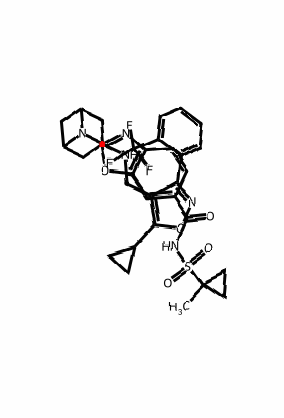 CC1(S(=O)(=O)NC(=O)c2ccc3nc(N4C5CC(NCc6c(-c7ccccc7C(F)(F)F)noc6C6CC6)CC4C5)oc3c2)CC1